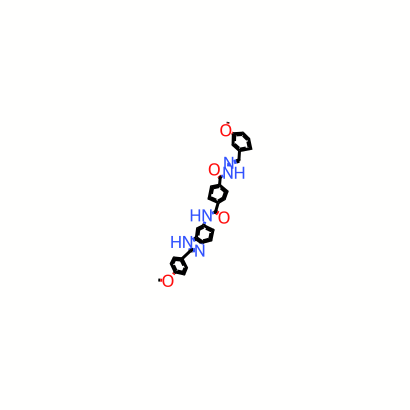 COc1ccc(-c2nc3ccc(NC(=O)c4ccc(C(=O)NN=Cc5cccc(OC)c5)cc4)cc3[nH]2)cc1